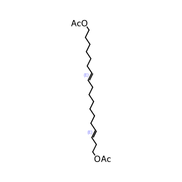 CC(=O)OCC/C=C/CCCCCC/C=C/CCCCCCOC(C)=O